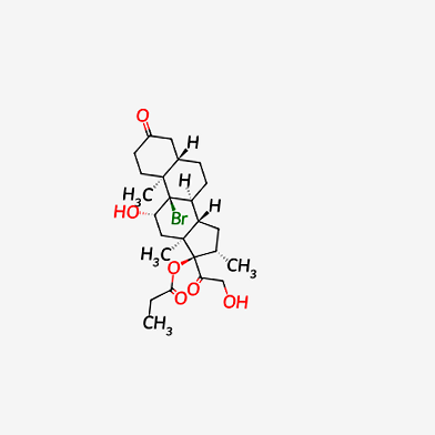 CCC(=O)O[C@]1(C(=O)CO)[C@@H](C)C[C@H]2[C@@H]3CC[C@H]4CC(=O)CC[C@]4(C)[C@@]3(Br)[C@@H](O)C[C@@]21C